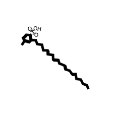 CCCCCC=CCC=CCC=CCC=CCCCCc1cc(C)ccc1S(=O)(=O)O